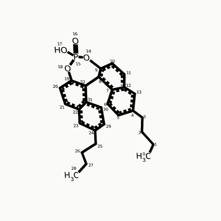 CCCCc1ccc2c3c(ccc2c1)OP(=O)(O)Oc1ccc2cc(CCCC)ccc2c1-3